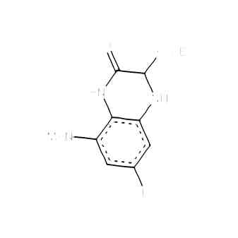 CCOC(=O)C1Nc2cc(F)cc(NC)c2NC1=O